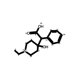 CCN1CCC(O)(C(C(=O)O)c2ccccc2)CC1